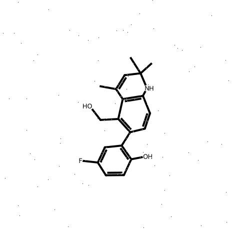 CC1=CC(C)(C)Nc2ccc(-c3cc(F)ccc3O)c(CO)c21